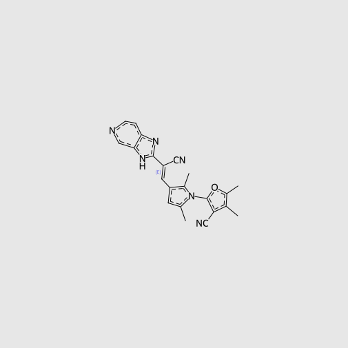 Cc1oc(-n2c(C)cc(/C=C(\C#N)c3nc4ccncc4[nH]3)c2C)c(C#N)c1C